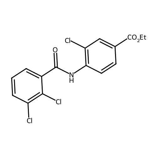 CCOC(=O)c1ccc(NC(=O)c2cccc(Cl)c2Cl)c(Cl)c1